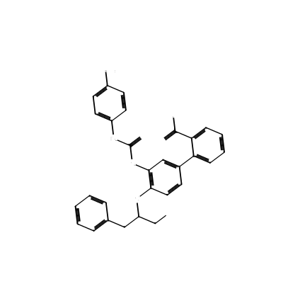 CCC(Cc1ccccc1)Nc1ccc(-c2ccccc2C(=O)O)cc1NC(=O)Nc1ccc(C)cc1